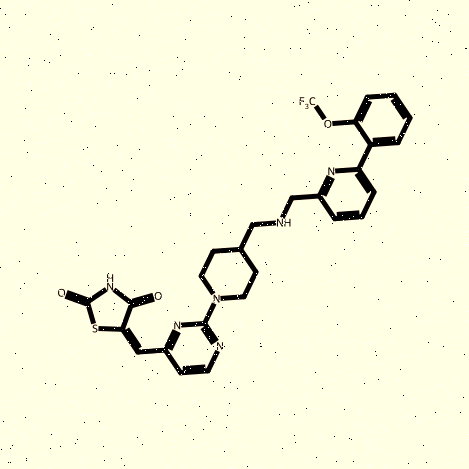 O=C1NC(=O)/C(=C\c2ccnc(N3CCC(CNCc4cccc(-c5ccccc5OC(F)(F)F)n4)CC3)n2)S1